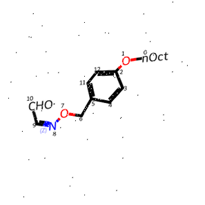 CCCCCCCCOc1ccc(CO/N=C\[C]=O)cc1